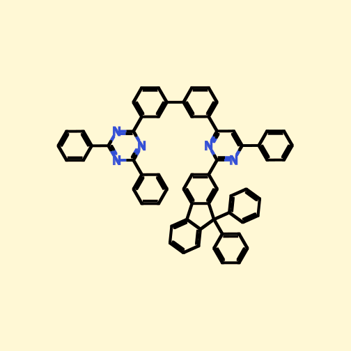 c1ccc(-c2cc(-c3cccc(-c4cccc(-c5nc(-c6ccccc6)nc(-c6ccccc6)n5)c4)c3)nc(-c3ccc4c(c3)C(c3ccccc3)(c3ccccc3)c3ccccc3-4)n2)cc1